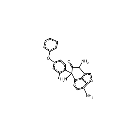 Cc1cc(Oc2ccccc2)ccc1C1(N)C(=O)C(N)c2csc3c(N)ccc1c23